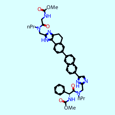 CCCN(Cc1nc2c([nH]1)-c1ccc(-c3ccc4cc(-c5cnc(CN(CCC)C(=O)[C@H](NC(=O)OC)c6ccccc6)[nH]5)ccc4c3)cc1CC2)C(=O)CNC(=O)OC